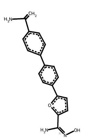 C=C(N)c1ccc(-c2ccc(-c3ccc(/C(N)=N\O)o3)cc2)cc1